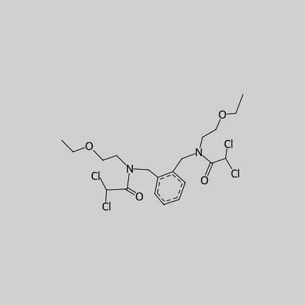 CCOCCN(Cc1ccccc1CN(CCOCC)C(=O)C(Cl)Cl)C(=O)C(Cl)Cl